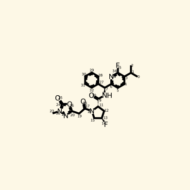 CC(C)c1ccc([C@@H](NC(=O)[C@@H]2C[C@@H](F)CN2C(=O)Cc2nn(C)c(=O)o2)c2ccccc2)nc1F